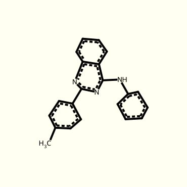 Cc1ccc(-c2nc(Nc3ccccc3)c3ccccc3n2)cc1